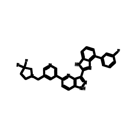 Fc1cccc(-c2cccc3[nH]c(-c4n[nH]c5ccc(-c6cncc(CN7CCC(F)(F)C7)c6)nc45)nc23)c1